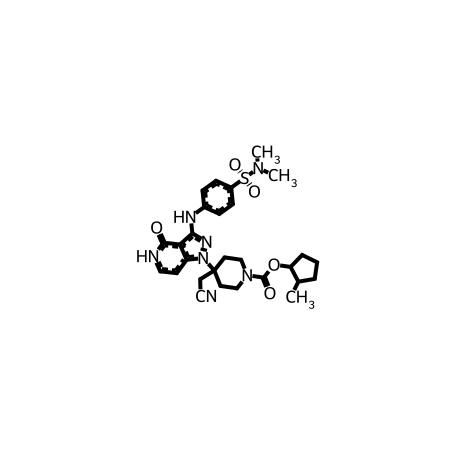 CC1CCCC1OC(=O)N1CCC(CC#N)(n2nc(Nc3ccc(S(=O)(=O)N(C)C)cc3)c3c(=O)[nH]ccc32)CC1